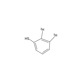 [2H]c1cccc(S)c1[2H]